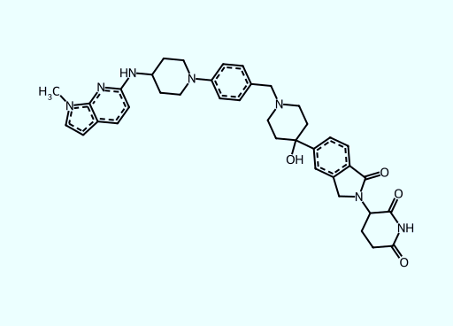 Cn1ccc2ccc(NC3CCN(c4ccc(CN5CCC(O)(c6ccc7c(c6)CN(C6CCC(=O)NC6=O)C7=O)CC5)cc4)CC3)nc21